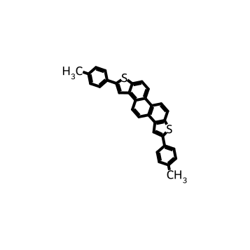 Cc1ccc(-c2cc3c(ccc4c3ccc3c5cc(-c6ccc(C)cc6)sc5ccc34)s2)cc1